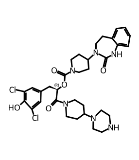 O=C(O[C@H](Cc1cc(Cl)c(O)c(Cl)c1)C(=O)N1CCC(N2CCNCC2)CC1)N1CCC(N2CCc3ccccc3NC2=O)CC1